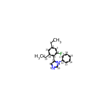 CCc1cc(F)c(-c2cncn2-c2ccccc2)c(CC)c1